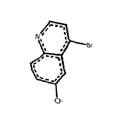 [O]c1ccc2nccc(Br)c2c1